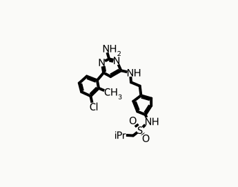 Cc1c(Cl)cccc1-c1cc(NCCc2ccc(NS(=O)(=O)CC(C)C)cc2)nc(N)n1